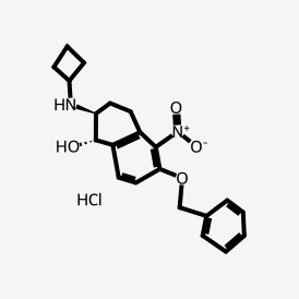 Cl.O=[N+]([O-])c1c(OCc2ccccc2)ccc2c1CC[C@H](NC1CCC1)[C@H]2O